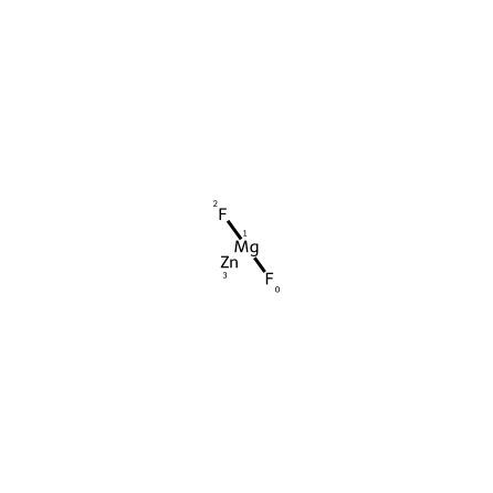 [F][Mg][F].[Zn]